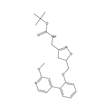 COc1cc(-c2ccccc2OCC2CC(CNC(=O)OC(C)(C)C)=NO2)ccn1